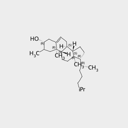 CC(C)CCC[C@@H](C)[C@H]1CC[C@H]2[C@@H]3CC=C4C[C@@H](O)C(C)C[C@]4(C)[C@H]3CC[C@]12C